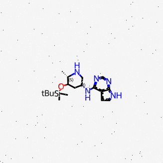 C[C@@H]1NC[C@H](Nc2ncnc3[nH]ccc23)CC1O[Si](C)(C)C(C)(C)C